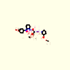 C=CCOC(=O)c1cccc(NC(=O)NC(C)(C(=O)Nc2ccccc2C(=O)c2ccc(OC)cc2)C(=O)OC(C)(C)C)c1